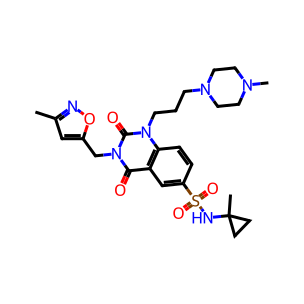 Cc1cc(Cn2c(=O)c3cc(S(=O)(=O)NC4(C)CC4)ccc3n(CCCN3CCN(C)CC3)c2=O)on1